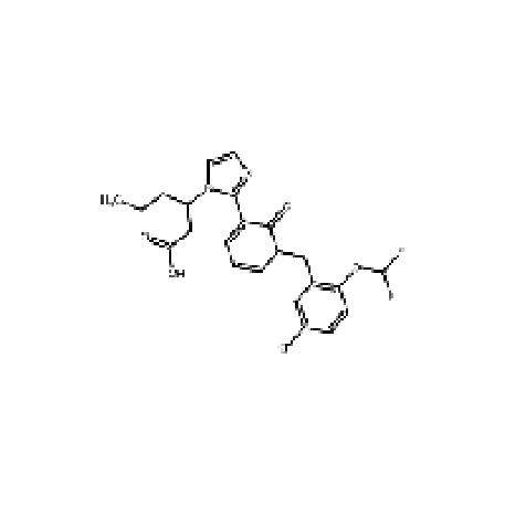 CCCC(CC(=O)O)n1ccnc1C1=CC=CC(Cc2cc(Cl)ccc2OC(F)F)C1=O